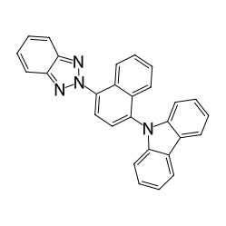 c1ccc2nn(-c3ccc(-n4c5ccccc5c5ccccc54)c4ccccc34)nc2c1